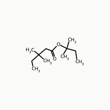 CCC(C)(C)CC(=O)OC(C)(C)CC